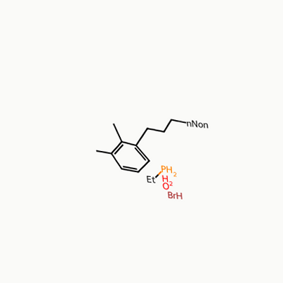 Br.CCCCCCCCCCCCc1cccc(C)c1C.CCP.O